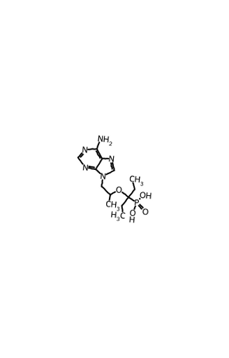 CCC(CC)(OC(C)Cn1cnc2c(N)ncnc21)P(=O)(O)O